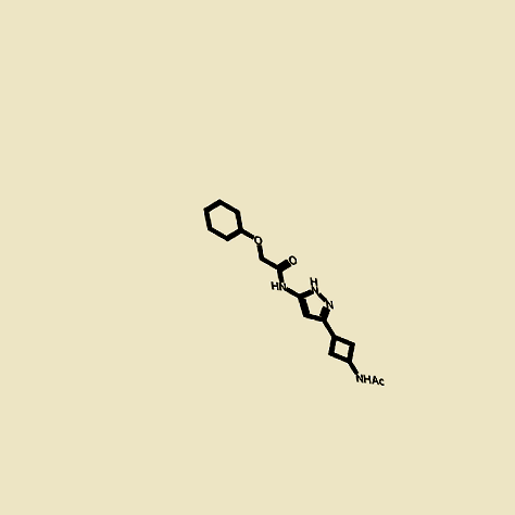 CC(=O)NC1CC(c2cc(NC(=O)COC3CCCCC3)[nH]n2)C1